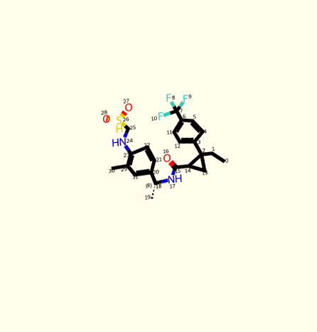 CCC1(c2ccc(C(F)(F)F)cc2)CC1C(=O)N[C@H](C)c1ccc(NC[SH](=O)=O)c(C)c1